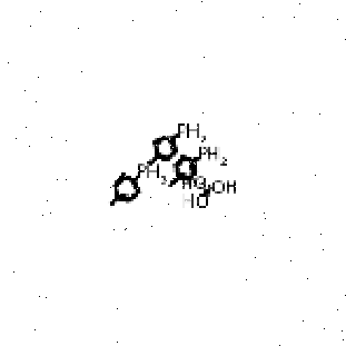 Cc1ccc(P)cc1.Cc1ccc(P)cc1.Cc1ccc(P)cc1.OB(O)O